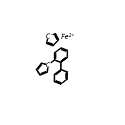 [Fe+2].c1cc[cH-]c1.c1ccc(-c2ccccc2-[c-]2cccc2)cc1